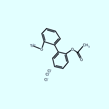 CC(=O)Oc1ccccc1-c1ccccc1[O][Ti+3].[Cl-].[Cl-].[Cl-]